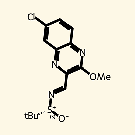 COc1nc2ccc(Cl)cc2nc1C=N[S@+]([O-])C(C)(C)C